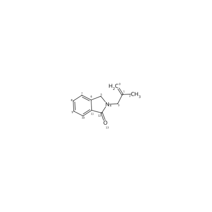 C=C(C)CN1Cc2ccccc2C1=O